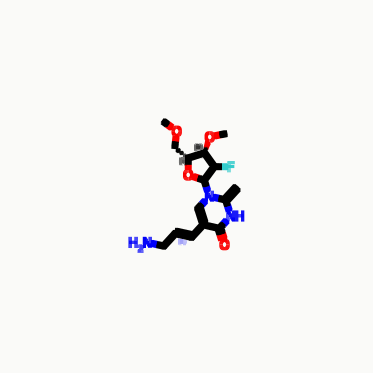 C=C1NC(=O)C(/C=C/CN)=CN1C1O[C@H](COC)[C@@H](OC)C1F